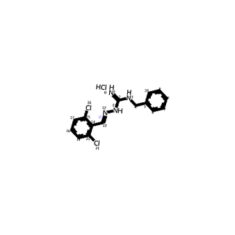 Cl.N=C(NCc1ccccc1)N/N=C/c1c(Cl)cccc1Cl